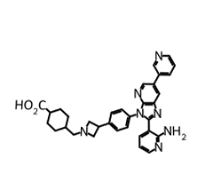 Nc1ncccc1-c1nc2cc(-c3cccnc3)cnc2n1-c1ccc(C2CN(CC3CCC(C(=O)O)CC3)C2)cc1